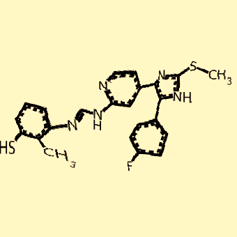 CSc1nc(-c2ccnc(NC=Nc3cccc(S)c3C)c2)c(-c2ccc(F)cc2)[nH]1